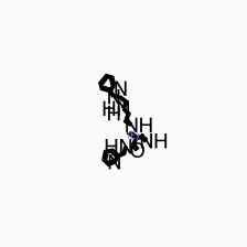 N=C/C(=C\NCCNCc1nc2ccccc2[nH]1)C(=O)NCc1ccccn1